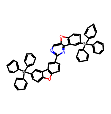 c1ccc([Si](c2ccccc2)(c2ccccc2)c2ccc3oc4ccc(-c5ncc6oc7ccc([Si](c8ccccc8)(c8ccccc8)c8ccccc8)cc7c6n5)cc4c3c2)cc1